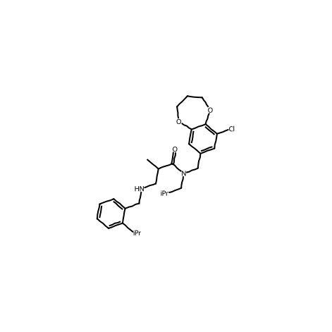 CC(C)CN(Cc1cc(Cl)c2c(c1)OCCCO2)C(=O)C(C)CNCc1ccccc1C(C)C